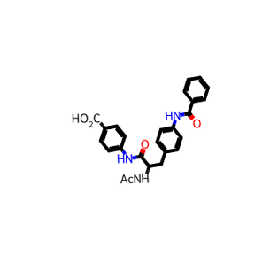 CC(=O)NC(Cc1ccc(NC(=O)c2ccccc2)cc1)C(=O)Nc1ccc(C(=O)O)cc1